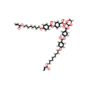 C=CC(=O)OCCCCCCCCOc1ccc(C(=O)Oc2ccc(C(=O)OC3OCCOC3OC(=O)c3ccc(OC(=O)c4ccc(OCCCCCCCCOC(=O)C=C)cc4)cc3)cc2)cc1